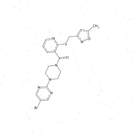 Cc1cc(CSc2ncccc2C(=O)N2CCN(c3ncc(Br)cn3)CC2)no1